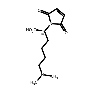 CN(C)CCCC[C@@H](C(=O)O)N1C(=O)C=CC1=O